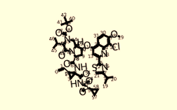 C=C[C@@H]1C[C@]1(NC(=O)[C@@H]1C[C@@H](Oc2cc(-c3nc(C(C)C)cs3)nc3c(Cl)c(OC)ccc23)[C@H]2CN(C(=O)OC(C)(C)C)[C@H](C(C)C)C(=O)N21)C(=O)NS(=O)(=O)C1CC1